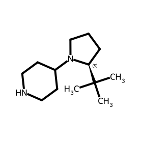 CC(C)(C)[C@@H]1CCCN1C1CCNCC1